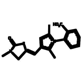 Cc1cc(/C=C2/CN(C)C(=O)S2)c(C)n1-c1ccccc1C(=O)O